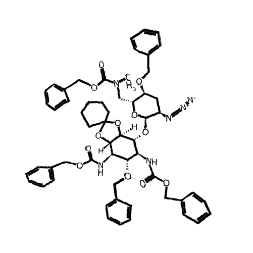 CN(C[C@H]1O[C@H](O[C@@H]2[C@@H](NC(=O)OCc3ccccc3)[C@H](OCc3ccccc3)[C@@H](NC(=O)OCc3ccccc3)[C@@H]3OC4(CCCCC4)O[C@@H]23)[C@H](N=[N+]=[N-])C[C@@H]1OCc1ccccc1)C(=O)OCc1ccccc1